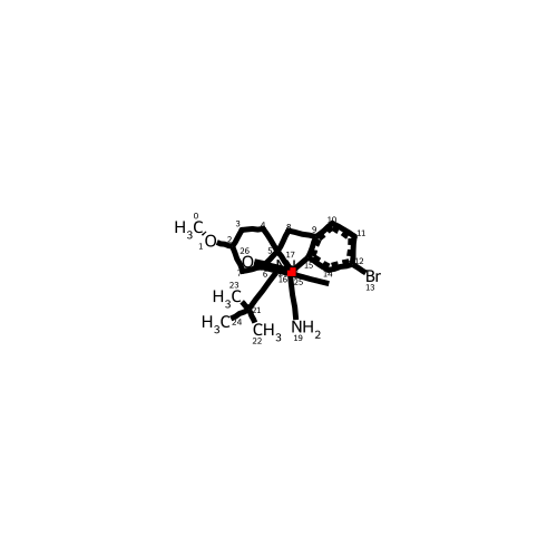 COC1CCC2(CC1)Cc1ccc(Br)cc1C21N=C(N)N(C(C)(C)C)C1=O